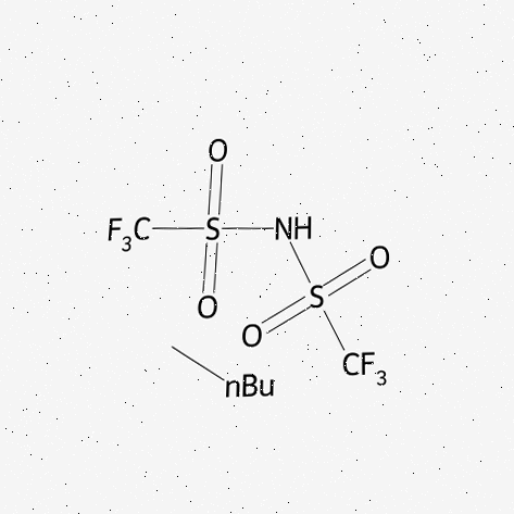 CCCCC.O=S(=O)(NS(=O)(=O)C(F)(F)F)C(F)(F)F